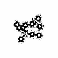 C1=CCC(c2nc(-c3ccc(-c4ccccc4)cc3)nc(-n3c4cc(-c5ccc6c(c5)Oc5ccccc5N6c5ccccc5)ccc4c4c5ccccc5ccc43)n2)C=C1